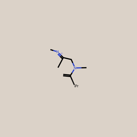 C=C(C(C)C)N(C)C/C(C)=N/C